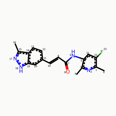 Cc1nc(C)c(NC(=O)/C=C/c2ccc3c(C)n[nH]c3c2)cc1F